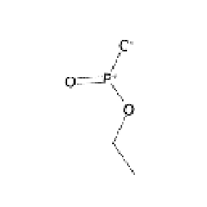 [CH2-][P+](=O)OCC